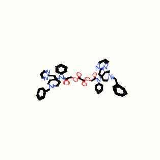 O=C(OCC(=O)N(c1ccccc1)C1(Cc2ncccn2)CCN(Cc2ccccc2)CC1)C(=O)OCC(=O)N(c1ccccc1)C1(Cc2ncccn2)CCN(Cc2ccccc2)CC1